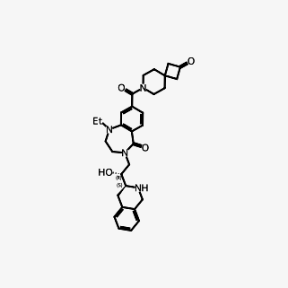 CCN1CCN(C[C@@H](O)[C@@H]2Cc3ccccc3CN2)C(=O)c2ccc(C(=O)N3CCC4(CC3)CC(=O)C4)cc21